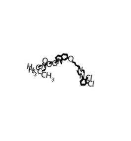 CCN(CC(C)C)C(=O)OCOc1ccc2ccc(OCCCCN3CCN(c4cccc(Cl)c4Cl)CC3)cc2n1